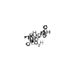 O=C(N[C@H]1CN(C(=O)O)[C@H](c2ccccc2)CN(CC2CC2)C1=O)N1CCC(n2cc(-c3ccccc3)[nH]c2=O)CC1